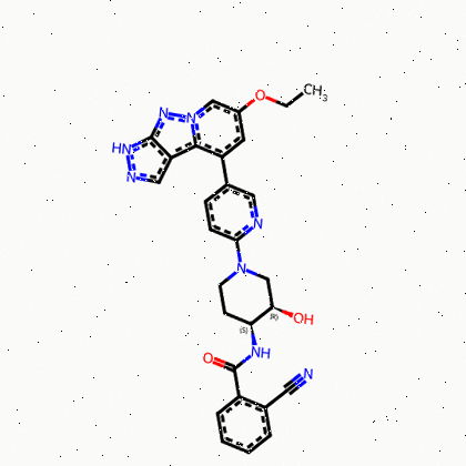 CCOc1cc(-c2ccc(N3CC[C@H](NC(=O)c4ccccc4C#N)[C@H](O)C3)nc2)c2c3cn[nH]c3nn2c1